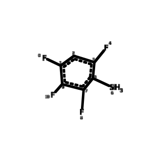 Fc1cc(F)c([SiH3])c(F)c1F